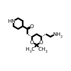 CC1(C)O[C@H](CC(=O)C2CCNCC2)C[C@H](CCN)O1